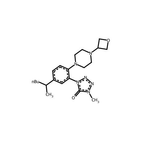 CCCCC(C)c1ccc(N2CCN(C3COC3)CC2)c(-n2nnn(C)c2=O)c1